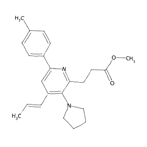 C/C=C/c1cc(-c2ccc(C)cc2)nc(CCC(=O)OC)c1N1CCCC1